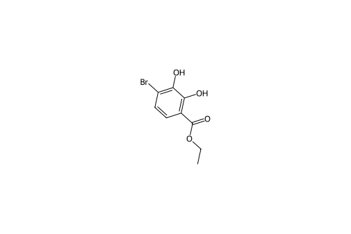 CCOC(=O)c1ccc(Br)c(O)c1O